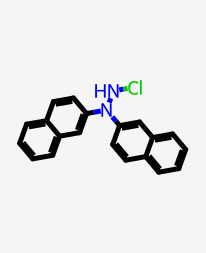 ClNN(c1ccc2ccccc2c1)c1ccc2ccccc2c1